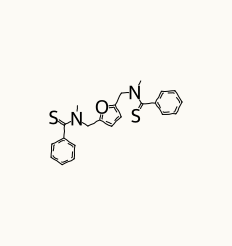 CN(Cc1ccc(CN(C)C(=S)c2ccccc2)o1)C(=S)c1ccccc1